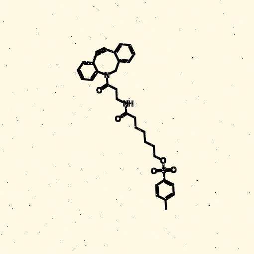 Cc1ccc(S(=O)(=O)OCCCCCCC(=O)NCCC(=O)N2Cc3ccccc3C#Cc3ccccc32)cc1